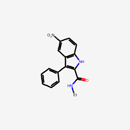 CCNC(=O)c1[nH]c2ccc([N+](=O)[O-])cc2c1-c1ccccc1